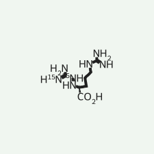 N=C(N)NCCC[C@H](N[15NH]C(N)=[15NH])C(=O)O